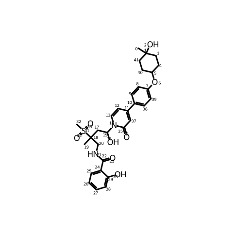 CC1(O)CCC(Oc2ccc(-c3ccn(C(O)CC(C)(CNC(=O)c4ccccc4O)S(C)(=O)=O)c(=O)c3)cc2)CC1